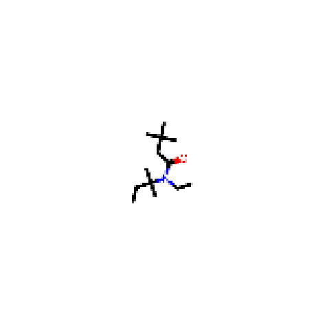 CCN(C(=O)CC(C)(C)C)C(C)(C)CC